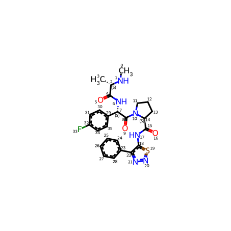 CN[C@@H](C)C(=O)N[C@H](C(=O)N1CCC[C@H]1C(=O)Nc1snnc1-c1ccccc1)c1ccc(F)cc1